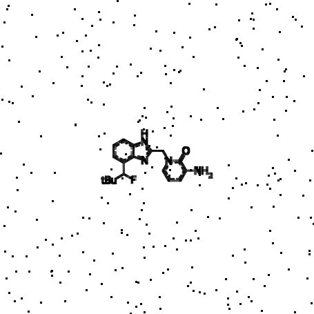 CC(C)(C)C(F)c1cccc2[nH]c(Cn3cccc(N)c3=O)nc12